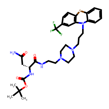 CC(C)(C)OC(=O)N[C@H](CC(N)=O)C(=O)NCCN1CCN(CCCN2c3ccccc3Sc3ccc(C(F)(F)F)cc32)CC1